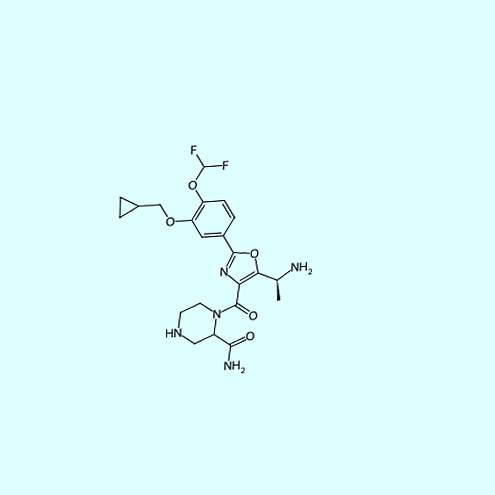 C[C@H](N)c1oc(-c2ccc(OC(F)F)c(OCC3CC3)c2)nc1C(=O)N1CCNCC1C(N)=O